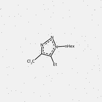 CCCCCCn1nnc(C(Cl)(Cl)Cl)c1CC